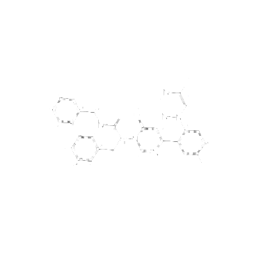 N/C(Cl)=C\N(N)c1ccc(Cl)cc1-c1cc(=O)n(C(Cc2ccccc2)C(=O)NCc2ccccc2)cn1